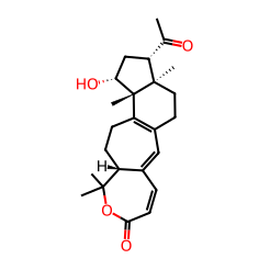 CC(=O)[C@H]1C[C@@H](O)[C@@]2(C)C3=C(C=C4C=CC(=O)OC(C)(C)[C@@H]4CC3)CC[C@]12C